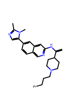 C=C(Nc1cc2cc(-c3cnc(C)n3C)ccc2cn1)C1CCN(CCCC(C)C)CC1